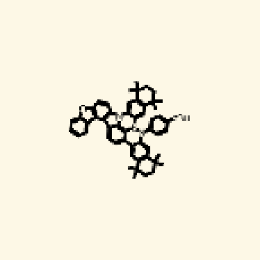 CC(C)(C)c1ccc(N2B3c4cc5c(cc4-n4c6ccc7oc8ccccc8c7c6c6ccc(c3c64)-c3cc4c(cc32)C(C)(C)CCC4(C)C)C(C)(C)CCC5(C)C)cc1